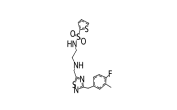 Cc1cc(Cc2nsc(CNCCNS(=O)(=O)c3cccs3)n2)ccc1F